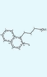 CCCCCCCCCCCc1c2ccccc2cc[n+]1C